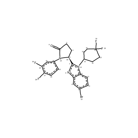 O=C1CC[C@@H](c2nc3cc(Br)ccc3n2C2CCC(F)(F)CC2)N1c1ccc(F)c(F)c1